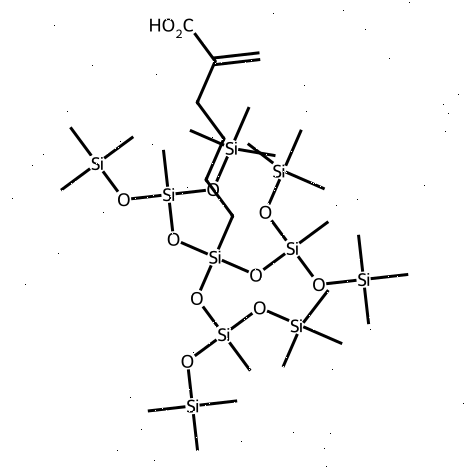 C=C(CCCC[Si](O[Si](C)(O[Si](C)(C)C)O[Si](C)(C)C)(O[Si](C)(O[Si](C)(C)C)O[Si](C)(C)C)O[Si](C)(O[Si](C)(C)C)O[Si](C)(C)C)C(=O)O